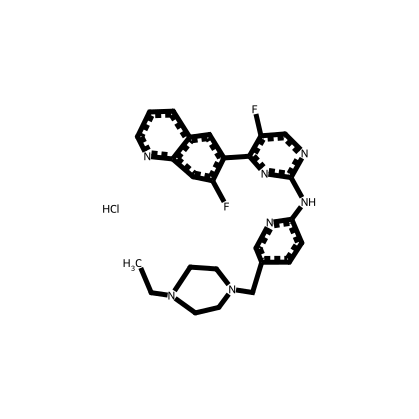 CCN1CCN(Cc2ccc(Nc3ncc(F)c(-c4cc5cccnc5cc4F)n3)nc2)CC1.Cl